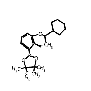 CC(Oc1cccc(B2OC(C)(C)C(C)(C)O2)c1F)C1CCCCC1